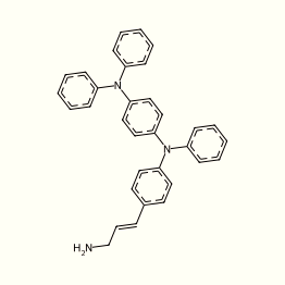 NC/C=C/c1ccc(N(c2ccccc2)c2ccc(N(c3ccccc3)c3ccccc3)cc2)cc1